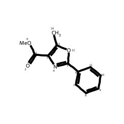 COC(=O)c1nc(-c2ccccc2)oc1C